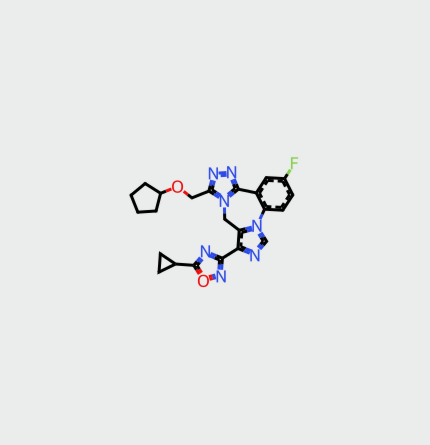 Fc1ccc2c(c1)-c1nnc(COC3CCCC3)n1Cc1c(-c3noc(C4CC4)n3)ncn1-2